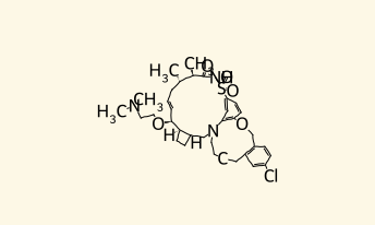 C[C@H]1C/C=C/[C@H](OCCN(C)C)[C@@H]2CC[C@H]2CN2CCCCc3cc(Cl)ccc3COc3ccc(cc32)S(=O)(=O)NC(=O)[C@@H]1C